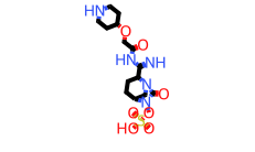 N=C(NC(=O)COC1CCNCC1)C1CCC2CN1C(=O)N2OS(=O)(=O)O